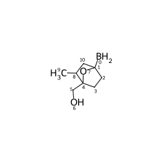 BC12CCC(CO)(O1)C(C)C2